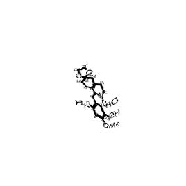 COc1cc(C)c(CC2C3=C(CCN2C=O)CC2(CC3)OCCO2)cc1O